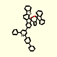 c1ccc(-c2ccc(-c3cc(-c4ccc5c(c4)-c4ccc6c(sc7ccccc76)c4C54c5ccccc5C5(c6ccccc6-c6ccccc65)c5ccccc54)cc(-c4ccccc4)n3)cc2)cc1